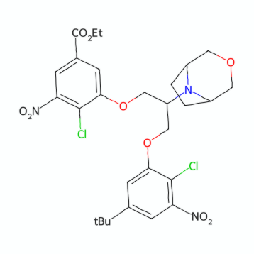 CCOC(=O)c1cc(OCC(COc2cc(C(C)(C)C)cc([N+](=O)[O-])c2Cl)N2C3CCC2COC3)c(Cl)c([N+](=O)[O-])c1